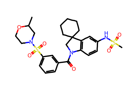 CC1CN(S(=O)(=O)c2cccc(C(=O)N3CC4(CCCCC4)c4cc(NS(C)(=O)=O)ccc43)c2)CCO1